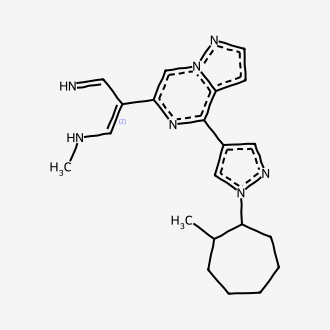 CN/C=C(\C=N)c1cn2nccc2c(-c2cnn(C3CCCCCC3C)c2)n1